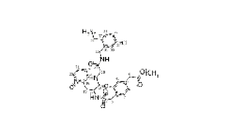 COC(=O)Cc1ccc(CS(=O)(=O)NC(Cc2cccc[n+]2[O-])C(=O)NCC(=O)NCc2cc(Cl)ccc2CN)cc1